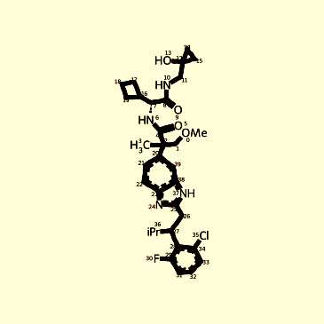 COCC(C)(C(=O)N[C@@H](C(=O)NCC1(O)CC1)C1CCC1)c1ccc2nc(CC(c3c(F)cccc3Cl)C(C)C)[nH]c2c1